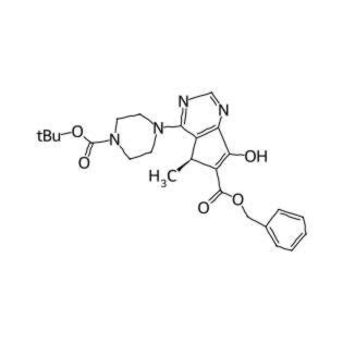 C[C@@H]1C(C(=O)OCc2ccccc2)=C(O)c2ncnc(N3CCN(C(=O)OC(C)(C)C)CC3)c21